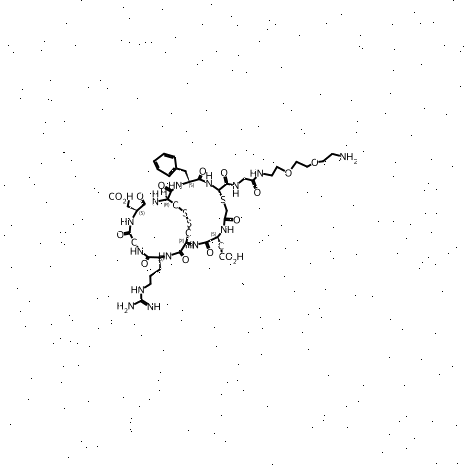 N=C(N)NCCC[C@@H]1NC(=O)[C@@H]2CSSC[C@H](NC(=O)[C@H](CC(=O)O)NC(=O)CNC1=O)C(=O)N[C@@H](Cc1ccccc1)C(=O)NC(C(=O)NCC(=O)NCCOCCOCCN)SCC(=O)N[C@@H](CC(=O)O)C(=O)N2